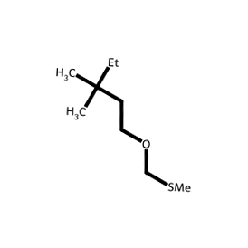 CCC(C)(C)CCOCSC